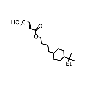 CCC(C)(C)C1CCC(CCCCOC(=O)/C=C/C(=O)O)CC1